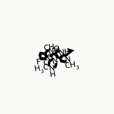 Cc1cc2c(N3CCN[C@@H](C)CC3)c(C(=O)N[C@@H](C)c3ccc(F)c(C(F)(F)F)c3)c(=O)[nH]c2c(C2CC2)n1